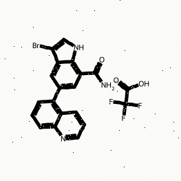 NC(=O)c1cc(-c2cccc3ncccc23)cc2c(Br)c[nH]c12.O=C(O)C(F)(F)F